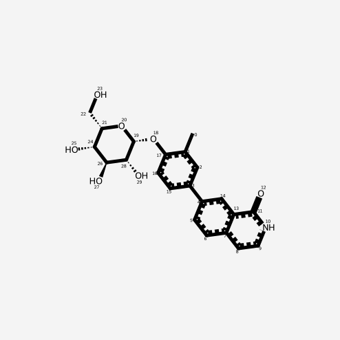 Cc1cc(-c2ccc3cc[nH]c(=O)c3c2)ccc1O[C@H]1O[C@@H](CO)[C@@H](O)[C@H](O)[C@H]1O